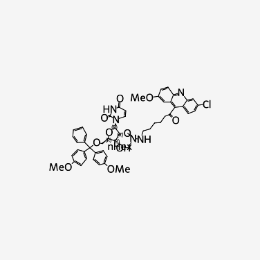 CCCCCCN(NCCCCCC(=O)c1c2ccc(Cl)cc2nc2ccc(OC)cc12)O[C@@H]1[C@H](O)[C@@H](COC(c2ccccc2)(c2ccc(OC)cc2)c2ccc(OC)cc2)O[C@H]1n1ccc(=O)[nH]c1=O